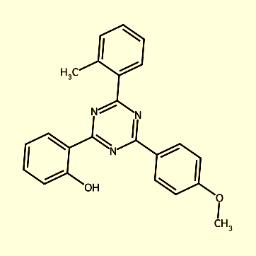 COc1ccc(-c2nc(-c3ccccc3C)nc(-c3ccccc3O)n2)cc1